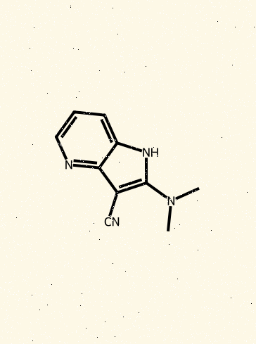 CN(C)c1[nH]c2cccnc2c1C#N